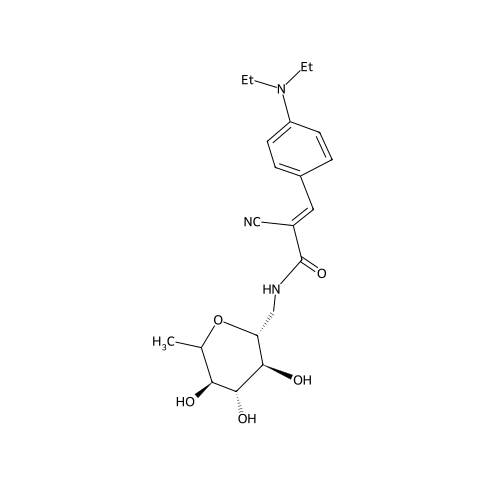 CCN(CC)c1ccc(/C=C(\C#N)C(=O)NC[C@H]2OC(C)[C@H](O)[C@@H](O)[C@@H]2O)cc1